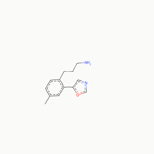 Cc1ccc(CCCN)c(-c2cnco2)c1